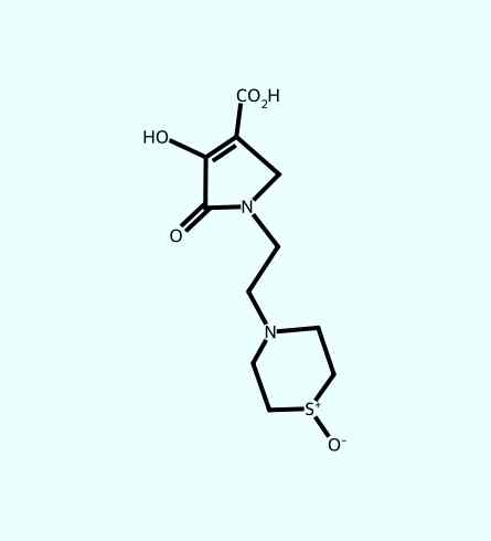 O=C(O)C1=C(O)C(=O)N(CCN2CC[S+]([O-])CC2)C1